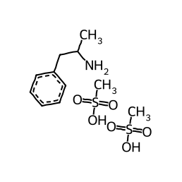 CC(N)Cc1ccccc1.CS(=O)(=O)O.CS(=O)(=O)O